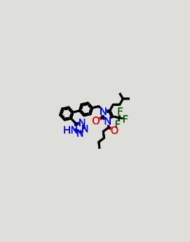 CCCCC(=O)n1c(C(F)(F)F)c(CCC(C)C)n(Cc2ccc(-c3ccccc3-c3nnn[nH]3)cc2)c1=O